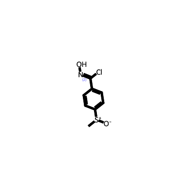 C[S+]([O-])c1ccc(/C(Cl)=N/O)cc1